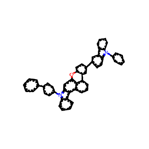 c1ccc(-c2ccc(-n3c4ccccc4c4c5cccc6c5c(cc43)Oc3ccc(-c4ccc5c(c4)c4ccccc4n5-c4ccccc4)cc3-6)cc2)cc1